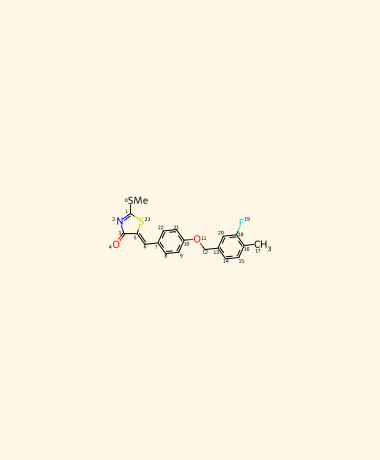 CSC1=NC(=O)C(=Cc2ccc(OCc3ccc(C)c(F)c3)cc2)S1